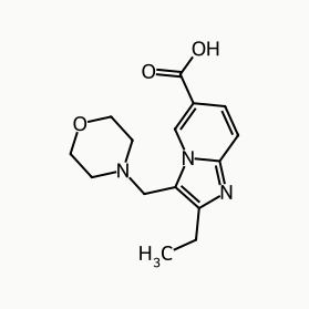 CCc1nc2ccc(C(=O)O)cn2c1CN1CCOCC1